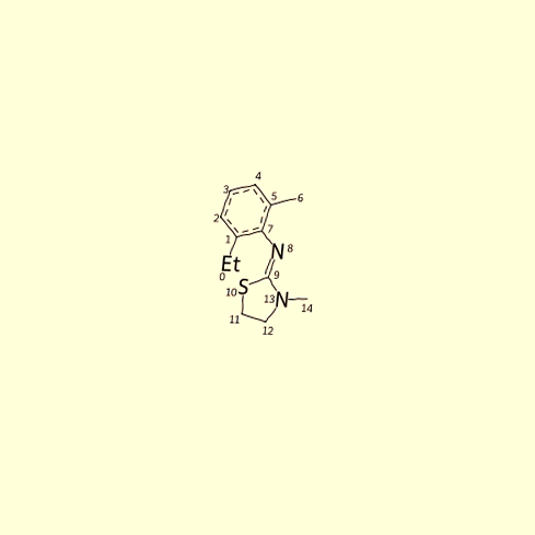 CCc1cccc(C)c1N=C1SCCN1C